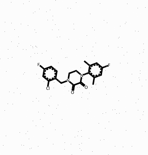 Cc1cc(F)cc(C)c1N1CCN(Cc2ccc(F)cc2Cl)C(=O)C1=O